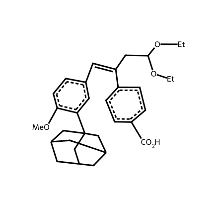 CCOC(CC(=Cc1ccc(OC)c(C23CC4CC(CC(C4)C2)C3)c1)c1ccc(C(=O)O)cc1)OCC